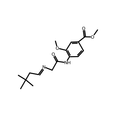 COC(=O)c1ccc(NC(=O)CN=CCC(C)(C)C)c(OC)c1